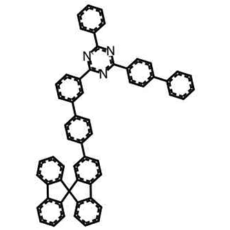 c1ccc(-c2ccc(-c3nc(-c4ccccc4)nc(-c4cccc(-c5ccc(-c6ccc7c(c6)C6(c8ccccc8-c8ccccc86)c6ccccc6-7)cc5)c4)n3)cc2)cc1